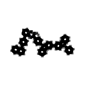 NC(/N=c1\[nH]cccc1-c1ccc(-c2cccc3ccccc23)cc1)c1ccc(-n2c3ccccc3c3cc(-c4ccc5c(c4)c4ccccc4n5-c4ccccc4)ccc32)cc1